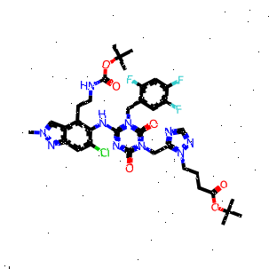 Cn1cc2c(CCNC(=O)OC(C)(C)C)c(Nc3nc(=O)n(Cc4ncnn4CCCC(=O)OC(C)(C)C)c(=O)n3Cc3cc(F)c(F)cc3F)c(Cl)cc2n1